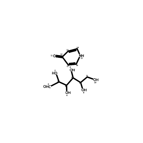 O=CC(O)C(O)C(O)C(O)CO.O=c1cc[nH]cc1